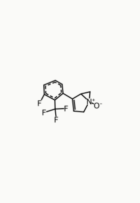 [O-][N+]12CC=C(c3cccc(F)c3C(F)(F)F)C1C2